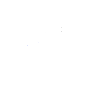 N#Cc1cn(-c2ccc(N)cc2)cn1